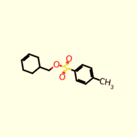 Cc1ccc(S(=O)(=O)OCC2CC=CCC2)cc1